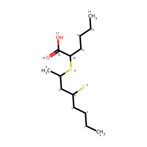 CCCCC(F)CC(C)SC(CCCC)C(=O)O